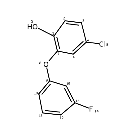 Oc1ccc(Cl)cc1Oc1cccc(F)c1